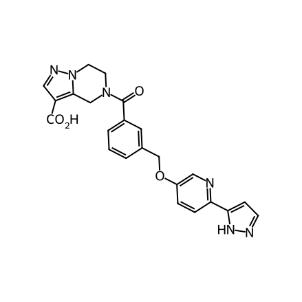 O=C(O)c1cnn2c1CN(C(=O)c1cccc(COc3ccc(-c4ccn[nH]4)nc3)c1)CC2